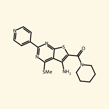 CSc1nc(-c2ccncc2)nc2sc(C(=O)N3CCCCC3)c(N)c12